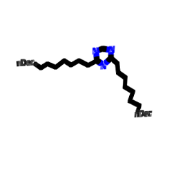 CCCCCCCCCCCCCCCCCc1n[c]nc(CCCCCCCCCCCCCCCCC)n1